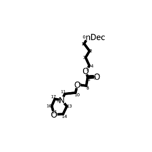 CCCCCCCCCCCCCCOC(=O)COCCN1CCOCC1